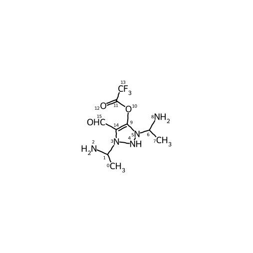 CC(N)N1NN(C(C)N)C(OC(=O)C(F)(F)F)=C1C=O